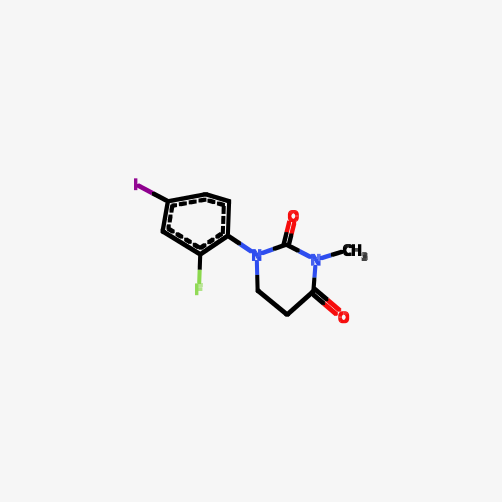 CN1C(=O)CCN(c2ccc(I)cc2F)C1=O